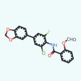 O=COc1ccccc1C(=O)Nc1c(F)cc(-c2ccc3c(c2)OCO3)cc1Cl